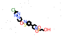 O=S(=O)(CCCO)N1CCC(c2ccc3nc(OC4CCN(c5ncc(Cl)cn5)CC4)sc3c2)CC1